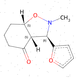 CN1O[C@H]2CCCC(=O)[C@H]2[C@@H]1c1ccco1